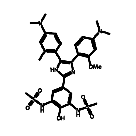 COc1cc(N(C)C)ccc1-c1nc(-c2cc(NS(C)(=O)=O)c(O)c(NS(C)(=O)=O)c2)[nH]c1-c1ccc(N(C)C)cc1C